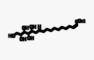 CCCCCCCC/C=C\CCCCCCCCNC[C@H](O)[C@@H](O)[C@H](O)[C@H](O)CO